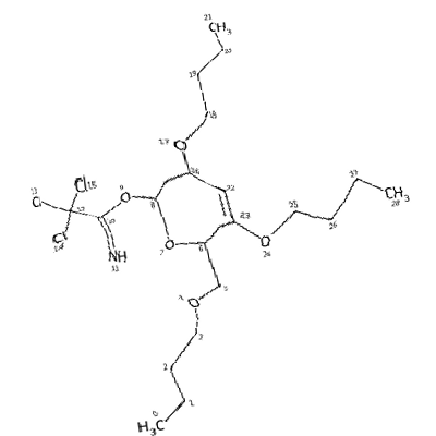 CCCCOCC1OC(OC(=N)C(Cl)(Cl)Cl)C(OCCCC)C=C1OCCCC